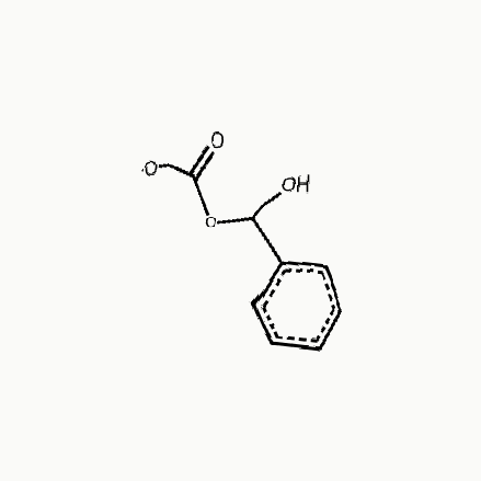 [O]C(=O)OC(O)c1ccccc1